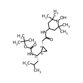 CC(C)C[C@H](NC(=O)OC(C)(C)C)[C@@H]1C[C@H]1CC(=O)NC1CC(C)(C)N(O)C(C)(C)C1